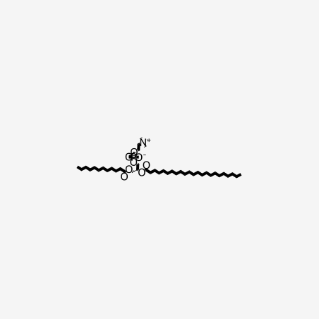 CCCCCCCCCCCCCCCCCCCCCCC(=O)O[C@H](COC(=O)CCCCCCCCCCC)COP(=O)([O-])OCC[N+](C)(C)C